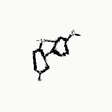 COc1ccc2c(c1)[nH]c1ccc(Br)cc12